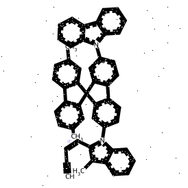 C#C/C=C\c1c(C)c2ccccc2n1-c1ccc2c(c1)C1(c3cc(C)ccc3-c3ccc(C)cc31)c1cc(-n3c4ccccc4c4ccccc43)ccc1-2